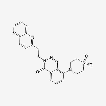 O=c1c2cccc(N3CCS(=O)(=O)CC3)c2cnn1CCc1ccc2ccccc2n1